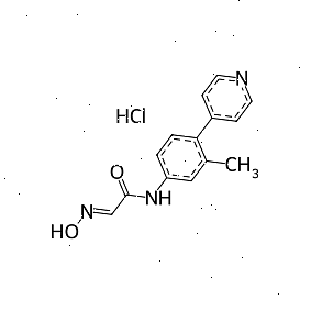 Cc1cc(NC(=O)C=NO)ccc1-c1ccncc1.Cl